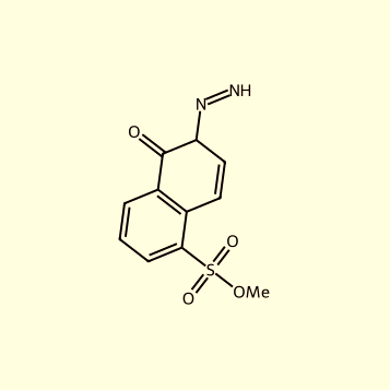 COS(=O)(=O)c1cccc2c1C=CC(N=N)C2=O